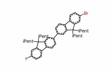 CCCC(C)C1(C(C)CCC)c2cc(Br)ccc2-c2ccc(-c3ccc4c(c3)C(C(C)CCC)(C(C)CCC)c3cc(I)ccc3-4)cc21